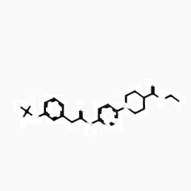 CCOC(=O)C1CCN(c2ccc(NC(=O)Cc3cccc(OC(F)(F)F)c3)nn2)CC1